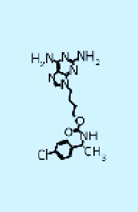 C[C@@H](NC(=O)OCCCCn1cnc2c(N)nc(N)nc21)c1ccc(Cl)cc1